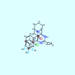 Cc1nc(-c2ccccc2)c2c(n1)C1CCCC(C2)N1C(=O)c1cccc(C(F)(F)F)c1Cl